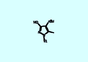 CCCCc1c(O)nn(CC)c1C